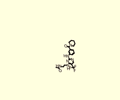 CC(=O)NCCNc1nc(Nc2cccc(C(=O)N3CCCCC3)c2)ncc1C(F)(F)F